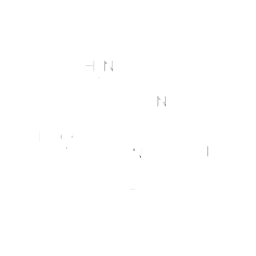 CCn1c(S)nc(N)c1C(=O)O